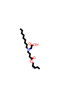 CC/C=C\COC(=O)CCCN(CCCCCCCCC)CC(=O)O